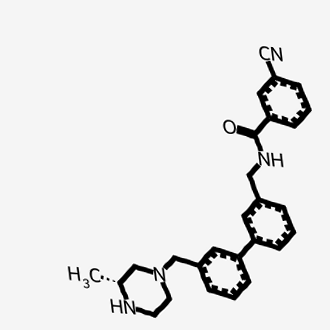 C[C@@H]1CN(Cc2cccc(-c3cccc(CNC(=O)c4cccc(C#N)c4)c3)c2)CCN1